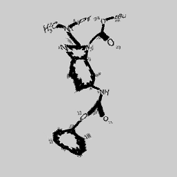 CC(C)N(C)c1nc2ccc(NC(=O)Oc3ccccc3)cc2n1C(=O)OC(C)(C)C